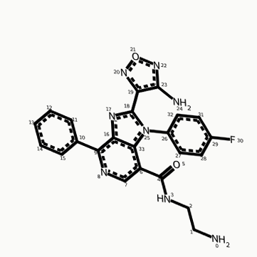 NCCNC(=O)c1cnc(-c2ccccc2)c2nc(-c3nonc3N)n(-c3ccc(F)cc3)c12